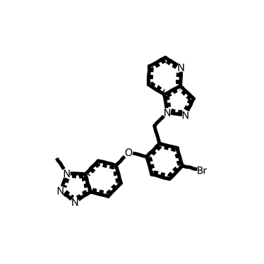 Cn1nnc2ccc(Oc3ccc(Br)cc3Cn3ncc4ncccc43)cc21